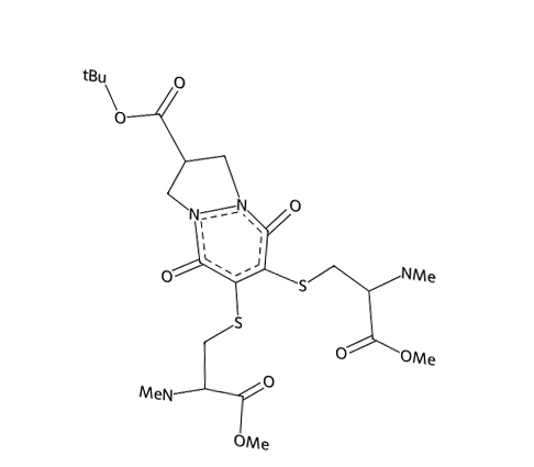 CNC(CSc1c(SCC(NC)C(=O)OC)c(=O)n2n(c1=O)CC(C(=O)OC(C)(C)C)C2)C(=O)OC